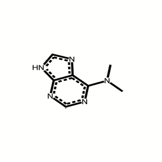 CN(C)c1n[c]nc2[nH]cnc12